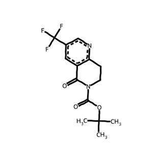 CC(C)(C)OC(=O)N1CCc2ncc(C(F)(F)F)cc2C1=O